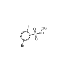 CC(C)(C)NS(=O)(=O)c1cc(Br)ccc1F